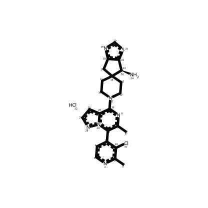 Cc1nccc(-c2c(C)nc(N3CCC4(CC3)Cc3ncsc3[C@H]4N)c3ccnn23)c1Cl.Cl